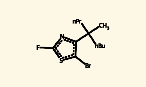 CCCCC(C)(CCC)c1nc(F)sc1Br